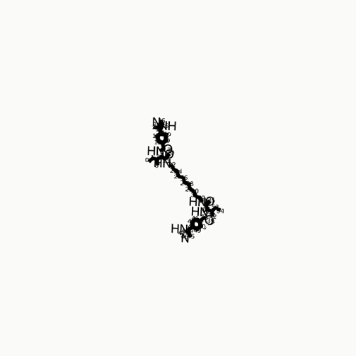 CCC(C)[C@H](NC(=O)c1ccc(-c2cnc[nH]2)cc1)C(=O)NCCCCCCCCCCCNC(=O)[C@@H](NC(=O)c1ccc(-c2cnc[nH]2)cc1)C(C)CC